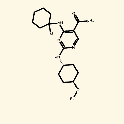 CCO[C@H]1CC[C@H](Nc2ncc(C(N)=O)c(NC3(CC)CCCCC3)n2)CC1